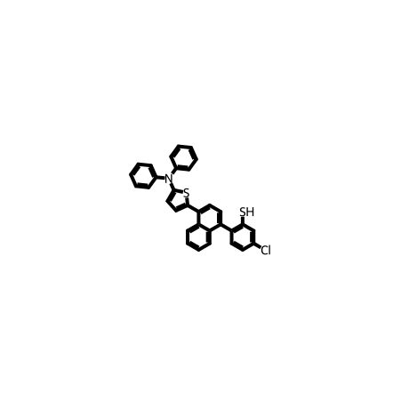 Sc1cc(Cl)ccc1-c1ccc(-c2ccc(N(c3ccccc3)c3ccccc3)s2)c2ccccc12